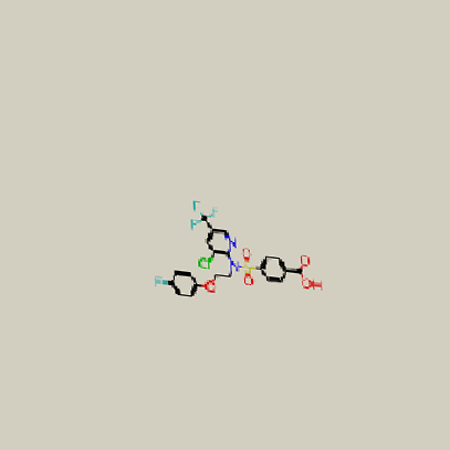 O=C(O)c1ccc(S(=O)(=O)N(CCOc2ccc(F)cc2)c2ncc(C(F)(F)F)cc2Cl)cc1